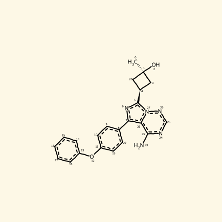 C[C@]1(O)C[C@@H](c2nc(-c3ccc(Oc4ccccc4)cc3)c3c(N)ncnn32)C1